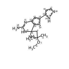 COC(C)(C)CC1(N)NC(N)=Nc2cc(-c3ccn[nH]3)sc21